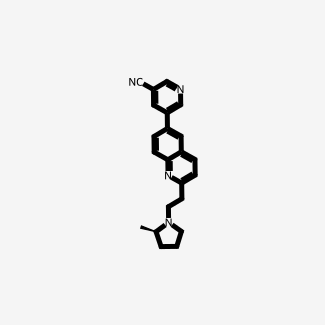 C[C@@H]1CCCN1CCc1ccc2cc(-c3cncc(C#N)c3)ccc2n1